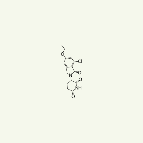 CCOc1cc(Cl)c2c(c1)CN(C1CCC(=O)NC1=O)C2=O